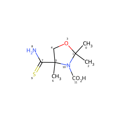 CC1(C)OCC(C)(C(N)=S)N1C(=O)O